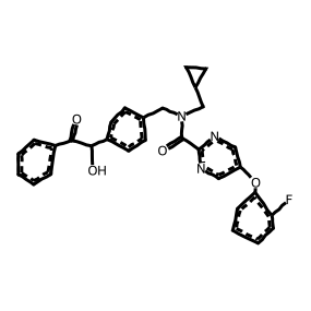 O=C(c1ccccc1)C(O)c1ccc(CN(CC2CC2)C(=O)c2ncc(Oc3ccccc3F)cn2)cc1